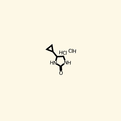 Cl.Cl.O=C1NCC(C2CC2)N1